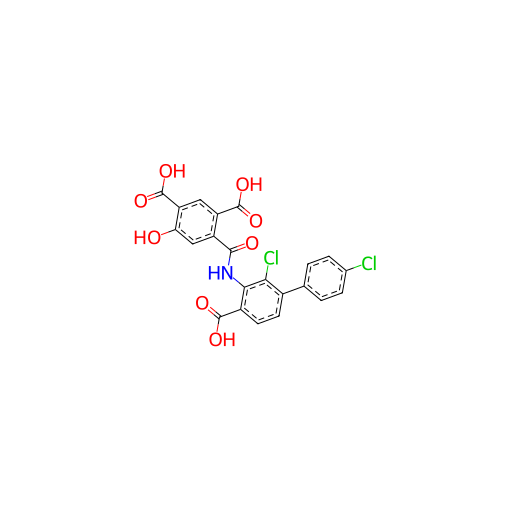 O=C(O)c1cc(C(=O)O)c(C(=O)Nc2c(C(=O)O)ccc(-c3ccc(Cl)cc3)c2Cl)cc1O